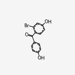 O=C(c1ccc(O)cc1)c1ccc(O)cc1Br